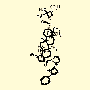 CC(C)[C@@H]1CC[C@]2(C(=O)N3CCC[C@H]3c3ncc(-c4ccccc4)[nH]3)CC[C@]3(C)[C@H](CC[C@@H]4[C@@]5(C)CC[C@H](OC(=O)[C@H]6C[C@@H](C(=O)O)C6(C)C)C(C)(C)[C@@H]5CC[C@]43C)[C@@H]12